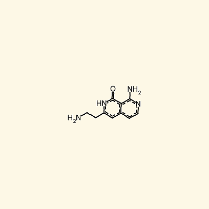 NCCc1cc2ccnc(N)c2c(=O)[nH]1